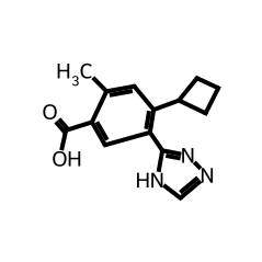 Cc1cc(C2CCC2)c(-c2nnc[nH]2)cc1C(=O)O